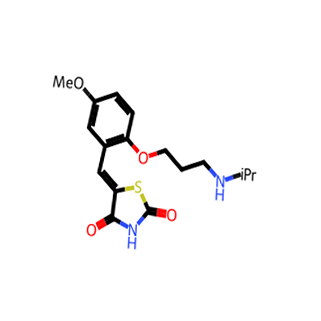 COc1ccc(OCCCNC(C)C)c(/C=C2\SC(=O)NC2=O)c1